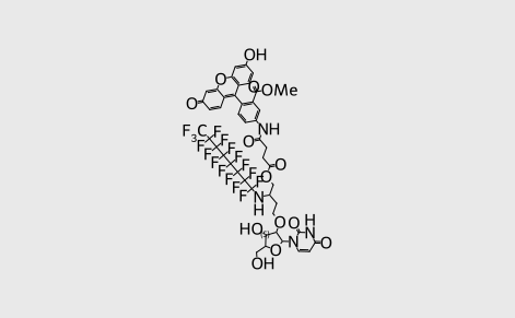 COC(=O)c1cc(NC(=O)CCC(=O)OCC(CCOC2C(n3ccc(=O)[nH]c3=O)OC(CO)[C@@H]2O)NC(F)(F)C(F)(F)C(F)(F)C(F)(F)C(F)(F)C(F)(F)C(F)(F)C(F)(F)F)ccc1-c1c2ccc(=O)cc-2oc2cc(O)ccc12